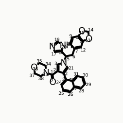 O=C(c1cn(C(Cc2ccc3c(c2)OCO3)c2cnc[nH]2)cc1-c1cccc2ccccc12)N1CCOCC1